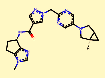 Cn1cnc2c1CC[C@H]2NC(=O)c1cnn(Cc2ncc(N3CC4C[C@H]4C3)cn2)c1